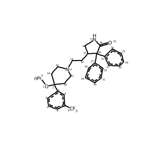 CCCOC1(c2cccc(C(F)(F)F)c2)CCN(CCC2CNC(=O)C2(c2ccccc2)c2ccccc2)CC1